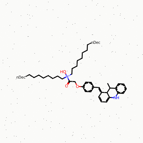 CCCCCCCCCCCCCCCCCC[N+](O)(CCCCCCCCCCCCCCCCCC)C(=O)COc1ccc(C=C2C=CC=C3Nc4ccccc4C(C)C23)cc1